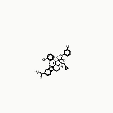 C[C@]1(C(=O)Nc2cccc(Cl)c2)[C@@H](c2cccc(Cl)c2F)[C@@H]2c3nc4cc(C(N)=O)ccc4n3CC[C@@H]2N1CC1CC1